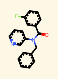 O=C(c1cccc(F)c1)N(Cc1ccccc1)c1cccnc1